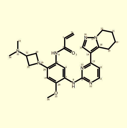 C=CC(=O)Nc1cc(Nc2nccc(-c3cnn4c3CCCC4)n2)c(OC)cc1N1CC(N(C)C)C1